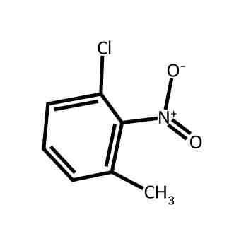 Cc1cccc(Cl)c1[N+](=O)[O-]